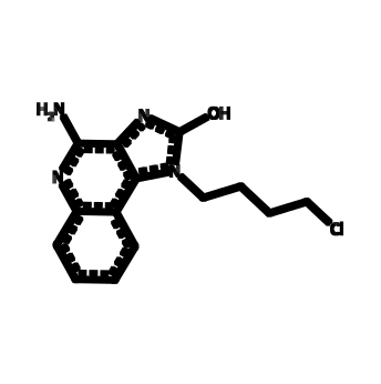 Nc1nc2ccccc2c2c1nc(O)n2CCCCCl